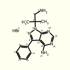 Br.CC(C)(CN)n1nc(-c2ccccc2)c2c(N)ncnc21